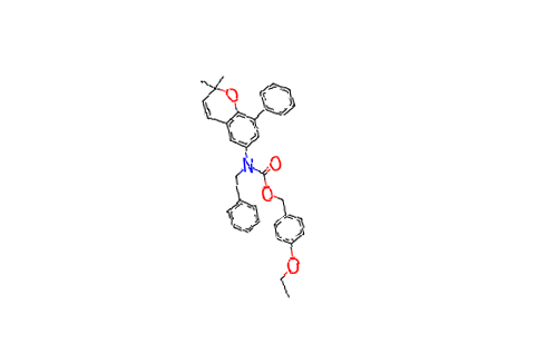 CCOc1ccc(COC(=O)N(Cc2ccccc2)c2cc3c(c(-c4ccccc4)c2)OC(C)(C)C=C3)cc1